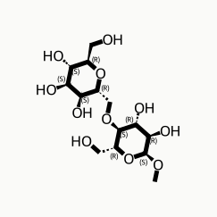 CO[C@H]1O[C@H](CO)[C@@H](OC[C@H]2O[C@H](CO)[C@@H](O)[C@H](O)[C@@H]2O)[C@H](O)[C@H]1O